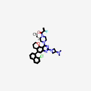 C=C(F)C(=O)N1CCN(c2nc(N3CC(N(C)C)C3)nc3cc(-c4cccc5cccc(Cl)c45)c4c(c23)OCCC4)C[C@@H]1CC#N